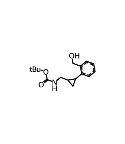 CC(C)(C)OC(=O)NCC1CC1c1ccccc1CO